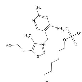 CCCCCCCCCCCCCCCCOS(=O)(=O)[O-].Cc1ncc(C[n+]2csc(CCO)c2C)c(N)n1